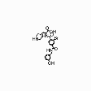 O=C(O)C(=CC1CCNCC1)NC(=O)c1ccc(C(=O)NCc2cccc(O)c2)cc1Br